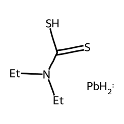 CCN(CC)C(=S)S.[PbH2]